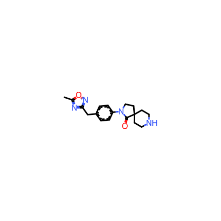 Cc1nc(Cc2ccc(N3CCC4(CCNCC4)C3=O)cc2)no1